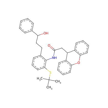 CC(C)(C)Sc1cccc(CCC(O)c2ccccc2)c1NC(=O)CC1c2ccccc2Oc2ccccc21